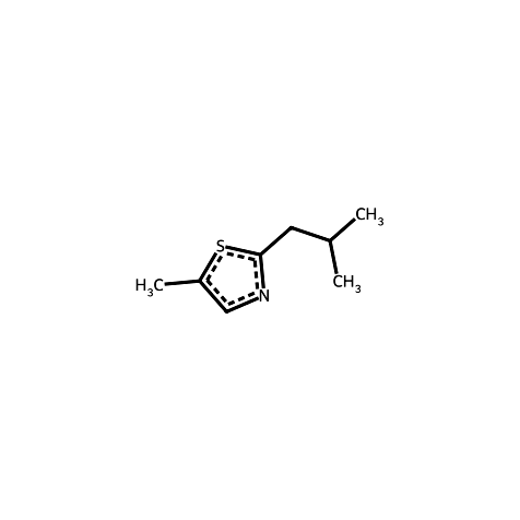 Cc1cnc(CC(C)C)s1